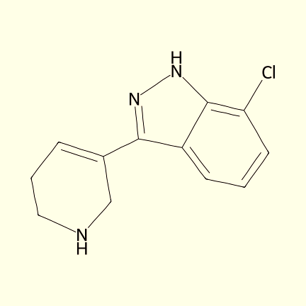 Clc1cccc2c(C3=CCCNC3)n[nH]c12